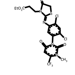 CCOC(=O)CCN1C(=O)CSC1=Nc1cc(-n2c(=O)cc(C(F)(F)F)n(C)c2=O)c(Cl)cc1Cl